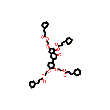 O=C(/C=C/c1ccccc1)OCCOc1cc2c(c(OC(=O)/C=C/c3ccccc3)c1)C(=O)C=C(c1ccc(OCCOC(=O)/C=C/c3ccccc3)c(OCCOC(=O)/C=C/c3ccccc3)c1)C2